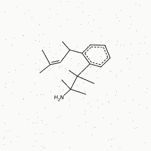 CC(C)=CC(C)c1ccccc1C(C)(C)C(C)(C)N